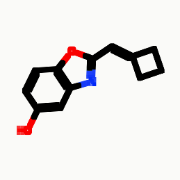 Oc1ccc2oc(C=C3CCC3)nc2c1